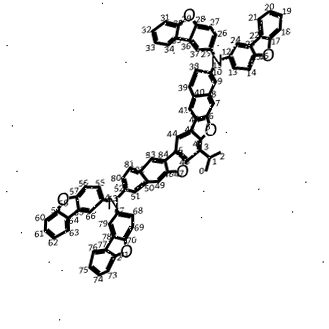 CC(C)c1c2oc3cc4cc(N(c5ccc6oc7ccccc7c6c5)c5ccc6oc7ccccc7c6c5)ccc4cc3c2cc2c1oc1cc3cc(N(c4ccc5oc6ccccc6c5c4)c4ccc5oc6ccccc6c5c4)ccc3cc12